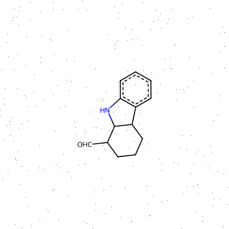 O=CC1CCCC2c3ccccc3NC12